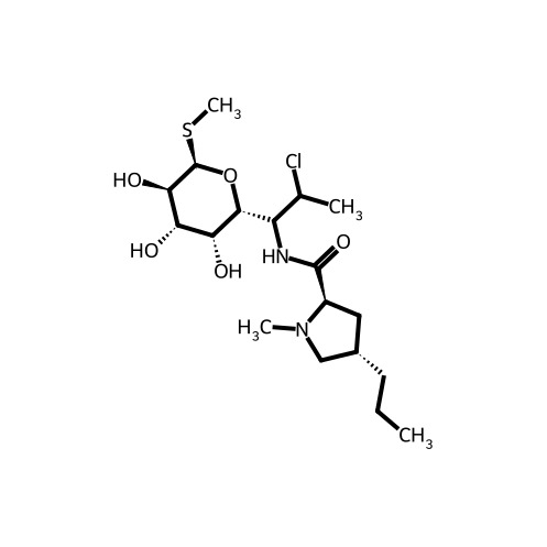 CCC[C@H]1C[C@H](C(=O)NC(C(C)Cl)[C@H]2O[C@H](SC)[C@H](O)[C@@H](O)[C@H]2O)N(C)C1